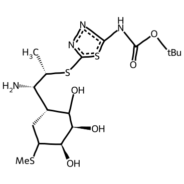 CSC1C[C@H]([C@H](N)[C@H](C)Sc2nnc(NC(=O)OC(C)(C)C)s2)C(O)[C@@H](O)[C@H]1O